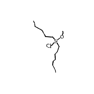 CCCCC[Si](Cl)(CCCCC)OC